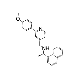 COc1ccc(-c2cc(CN[C@H](C)c3cccc4ccccc34)ccn2)cc1